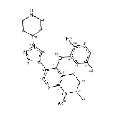 CC(=O)N1c2ccc(-c3cnn(C4CCNCC4)c3)c(Oc3cc(F)ccc3F)c2CCC1C